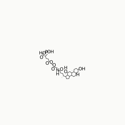 C=P(O)(O)CC(CCC(=O)OCOC(=O)CNC(=O)CC[C@@H](C)C1CCC2C3CC[C@@H]4C[C@H](O)CC[C@]4(C)C3C[C@H](O)[C@@]21C)C(C)=O